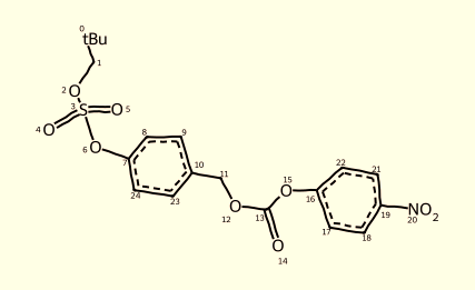 CC(C)(C)COS(=O)(=O)Oc1ccc(COC(=O)Oc2ccc([N+](=O)[O-])cc2)cc1